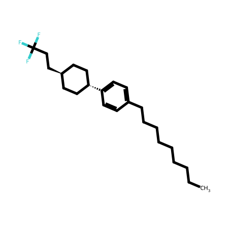 CCCCCCCCCc1ccc([C@H]2CC[C@H](CCC(F)(F)F)CC2)cc1